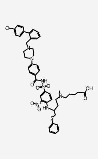 CN(CCCCC(=O)O)CCC(CSc1ccccc1)Nc1ccc(S(=O)(=O)NC(=O)c2ccc(N3CCN(Cc4ccccc4-c4ccc(Cl)cc4)CC3)cc2)cc1[N+](=O)[O-]